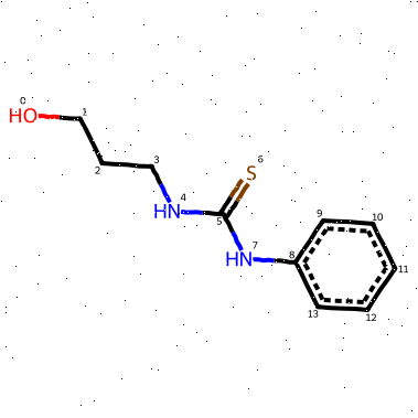 OCCCNC(=S)Nc1ccccc1